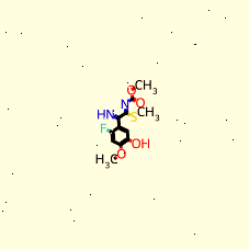 COC(=O)N=C(SC)C(=N)c1cc(O)c(OC)cc1F